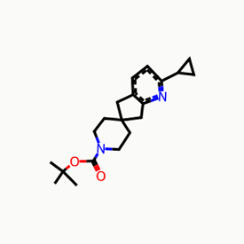 CC(C)(C)OC(=O)N1CCC2(CC1)Cc1ccc(C3CC3)nc1C2